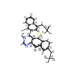 Cc1c2c(c(CC(C)(C)C)c3ccccc13)Sc1c3ccc(CC(C)(C)C)cc3cc3nc[n+](C)c-2c13